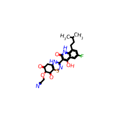 CC(C)CCc1cc(F)cc2c(O)c(C3=NSC4=C(CC(=O)C(OCC#N)C4=O)N3)c(=O)[nH]c12